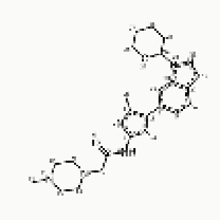 Cc1nc(NC(=O)CN2CCN(C)CC2)sc1-c1ccc2cnn(C3CCCCO3)c2c1